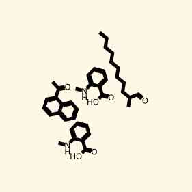 CC(=O)c1cccc2ccccc12.CCCCCCCCCC(C)C=O.CNc1ccccc1C(=O)O.CNc1ccccc1C(=O)O